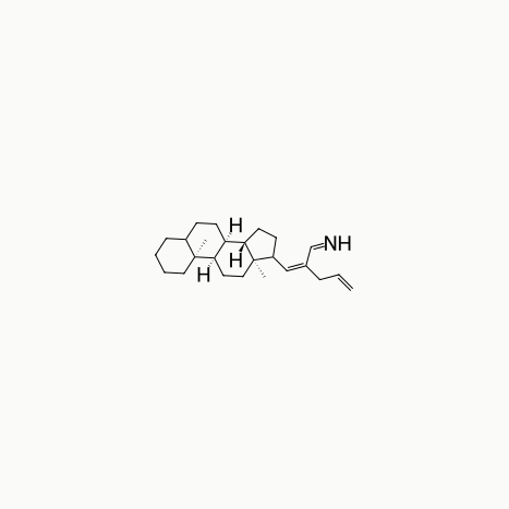 C=CCC(C=N)=CC1CC[C@H]2[C@@H]3CCC4CCCC[C@]4(C)[C@@H]3CC[C@]12C